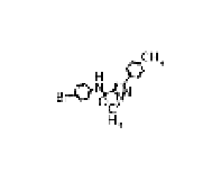 CCn1nc(-c2ccc(C)cc2)cc1C(=O)Nc1ccc(Br)cc1